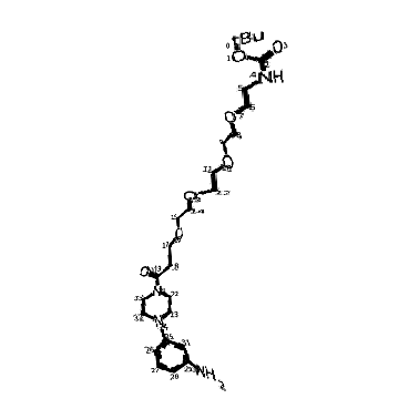 CC(C)(C)OC(=O)NCCOCCOCCOCCOCCC(=O)N1CCN(c2cccc(N)c2)CC1